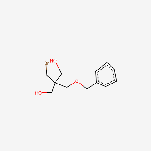 OCC(CO)(CBr)COCc1ccccc1